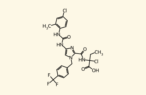 CCC(Cl)(NC(=O)c1nc(NC(=O)Nc2ccc(Cl)cc2C)cn1Cc1ccc(C(F)(F)F)cc1)C(=O)O